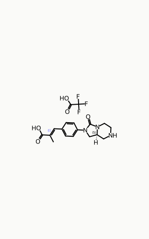 C/C(=C\c1ccc(N2C[C@@H]3CNCCN3C2=O)cc1)C(=O)O.O=C(O)C(F)(F)F